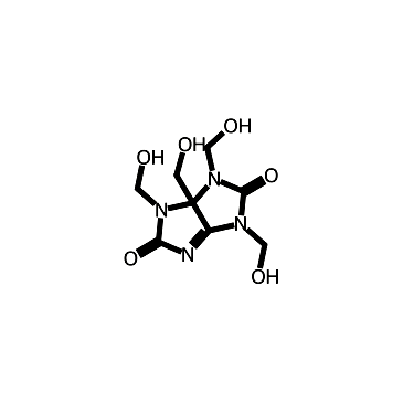 O=C1N=C2N(CO)C(=O)N(CO)C2(CO)N1CO